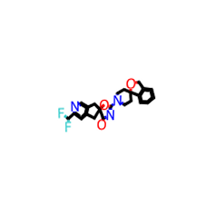 O=C1N=C(N2CCC3(CC2)OCc2ccccc23)OC12Cc1cnc(C(F)F)cc1C2